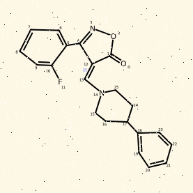 O=C1ON=C(c2ccccc2F)/C1=C/N1CCC(c2ccccc2)CC1